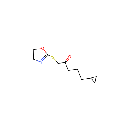 O=C(CCCC1CC1)CSc1ncco1